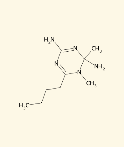 CCCCC1=NC(N)=NC(C)(N)N1C